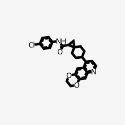 O=C(Nc1ccc(Cl)cc1)C1CC12CCC(c1ccnc3cc4c(cc13)OCCO4)CC2